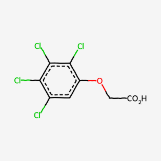 O=C(O)COc1cc(Cl)c(Cl)c(Cl)c1Cl